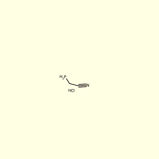 Cl.N#CCP